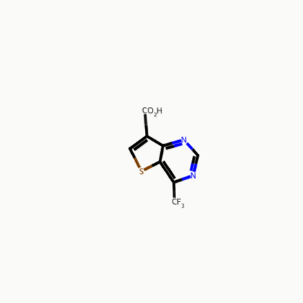 O=C(O)c1csc2c(C(F)(F)F)ncnc12